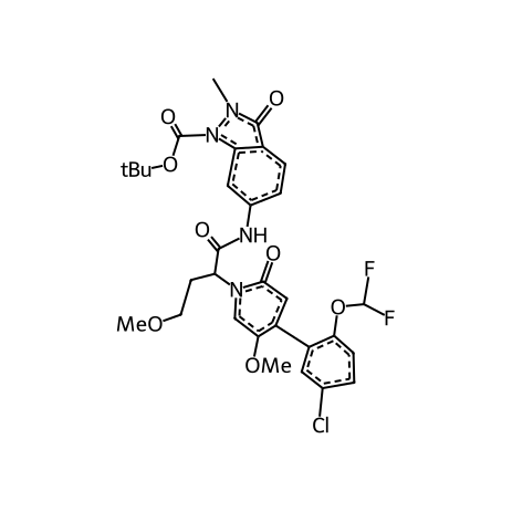 COCCC(C(=O)Nc1ccc2c(=O)n(C)n(C(=O)OC(C)(C)C)c2c1)n1cc(OC)c(-c2cc(Cl)ccc2OC(F)F)cc1=O